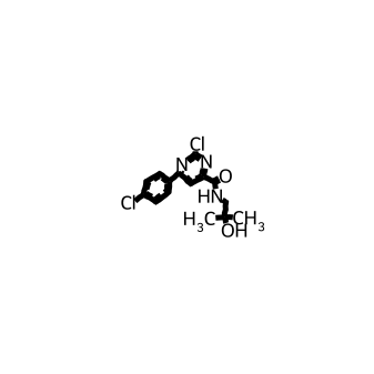 CC(C)(O)CNC(=O)c1cc(-c2ccc(Cl)cc2)nc(Cl)n1